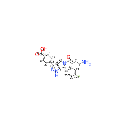 NCCC(C(=O)N1Cc2[nH]nc(-c3ccc(C(=O)O)cc3)c2C1)c1cccc(F)c1